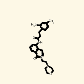 Cc1ccc(CCC(=O)Nc2cccc3c(=O)n(CCN4CCOCC4)ccc23)c(C)c1